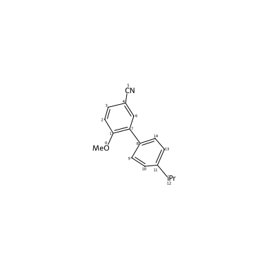 COc1ccc(C#N)cc1-c1ccc(C(C)C)cc1